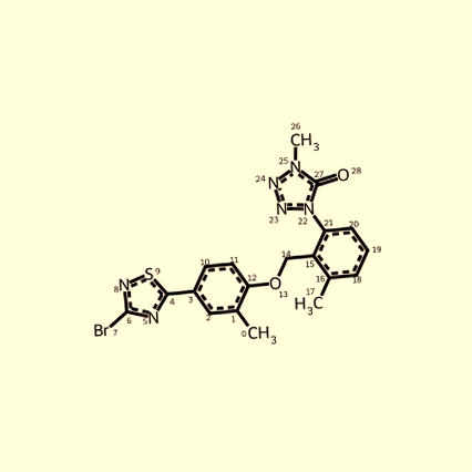 Cc1cc(-c2nc(Br)ns2)ccc1OCc1c(C)cccc1-n1nnn(C)c1=O